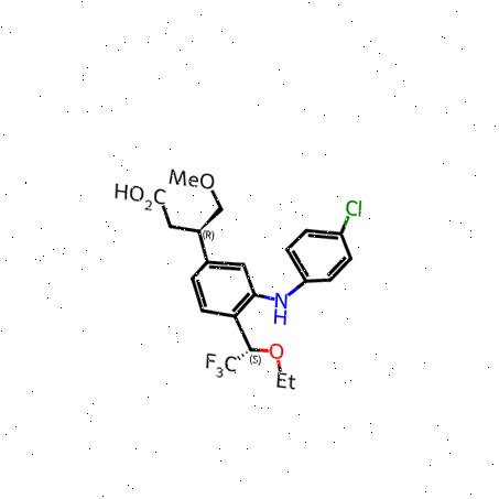 CCO[C@@H](c1ccc([C@H](COC)CC(=O)O)cc1Nc1ccc(Cl)cc1)C(F)(F)F